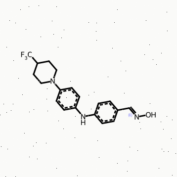 O/N=C/c1ccc(Nc2ccc(N3CCC(C(F)(F)F)CC3)cc2)cc1